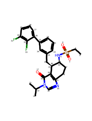 CCS(=O)(=O)N[C@H]1CCc2ncn(C(C)C)c(=O)c2[C@H]1Cc1cccc(-c2cccc(F)c2F)c1